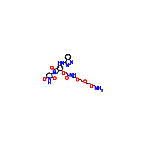 NCOCCOCCOCCNC(=O)COc1cc(Nc2ncnc3ccccc23)cc2c1CN(C1CCC(=O)NC1=O)C2=O